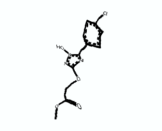 COC(=O)COc1nc(-c2ccc(Cl)cc2)n(O)n1